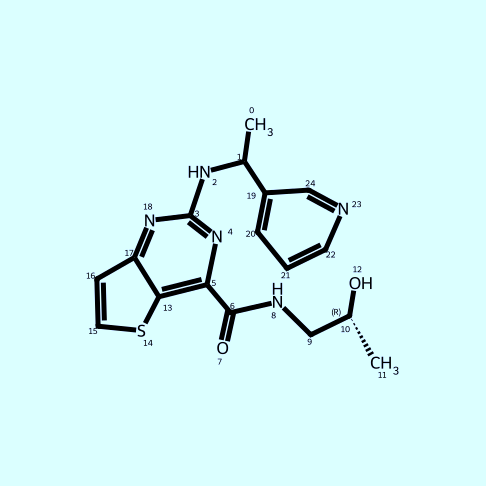 CC(Nc1nc(C(=O)NC[C@@H](C)O)c2sccc2n1)c1cccnc1